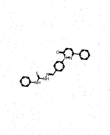 O=c1ccc(-c2ccccc2)nn1-c1ccc(C=NNC(=S)Nc2ccccc2)cc1